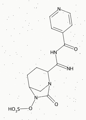 N=C(NC(=O)c1ccncc1)C1CCC2CN1C(=O)N2OS(=O)(=O)O